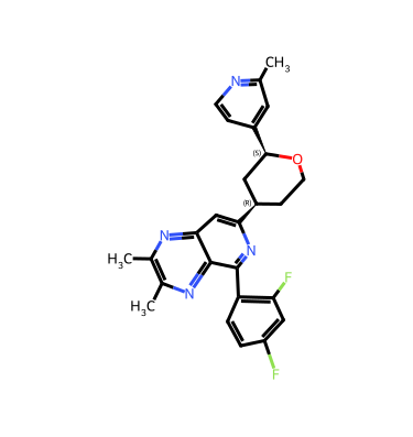 Cc1cc([C@@H]2C[C@H](c3cc4nc(C)c(C)nc4c(-c4ccc(F)cc4F)n3)CCO2)ccn1